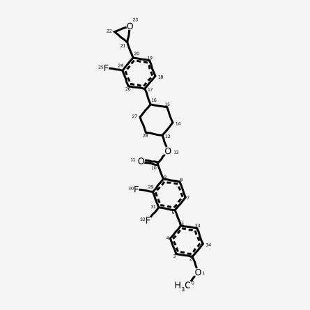 COc1ccc(-c2ccc(C(=O)OC3CCC(c4ccc(C5CO5)c(F)c4)CC3)c(F)c2F)cc1